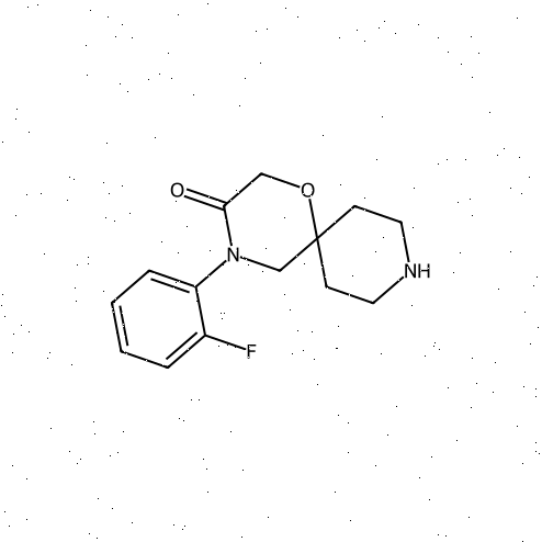 O=C1COC2(CCNCC2)CN1c1ccccc1F